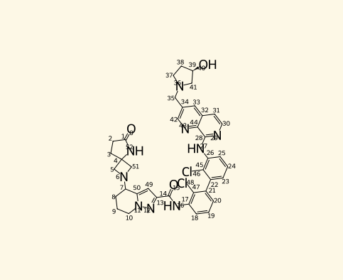 O=C1CCC2(CN(C3CCCn4nc(C(=O)Nc5cccc(-c6cccc(Nc7nccc8cc(CN9CC[C@@H](O)C9)cnc78)c6Cl)c5Cl)cc43)C2)N1